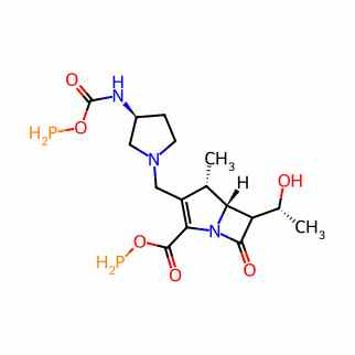 C[C@@H](O)C1C(=O)N2C(C(=O)OP)=C(CN3CC[C@H](NC(=O)OP)C3)[C@H](C)[C@H]12